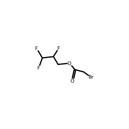 O=C(CBr)OCC(F)C(F)F